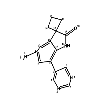 Nc1cc(-c2cncnc2)c2c(c1)C1(CCC1)C(=O)N2